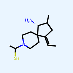 C/C=C1\CC(C)[C@@H](N)C12CCN(C(C)S)CC2